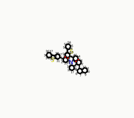 c1ccc(-c2cccc3ccccc23)c(-c2ccccc2N(c2ccc(-c3ccc4c(c3)sc3ccccc34)cc2)c2ccccc2-c2cccc3c2sc2ccccc23)c1